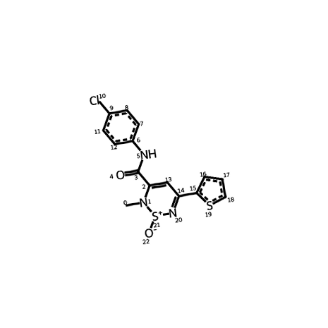 CN1C(C(=O)Nc2ccc(Cl)cc2)=CC(c2cccs2)=N[S+]1[O-]